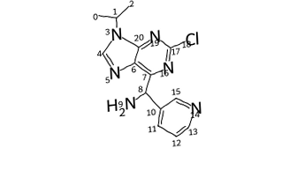 CC(C)n1cnc2c(C(N)c3cccnc3)nc(Cl)nc21